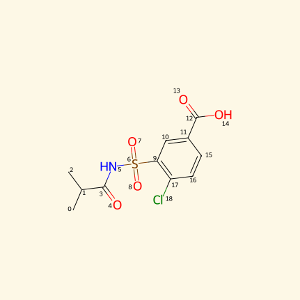 CC(C)C(=O)NS(=O)(=O)c1cc(C(=O)O)ccc1Cl